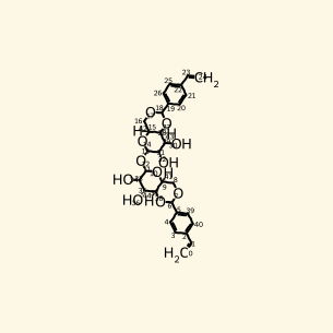 C=Cc1ccc(C2OC[C@H]3O[C@H](O[C@H]4O[C@@H]5COC(c6ccc(C=C)cc6)O[C@H]5C(O)[C@H]4O)[C@H](O)[C@@H](O)[C@@H]3O2)cc1